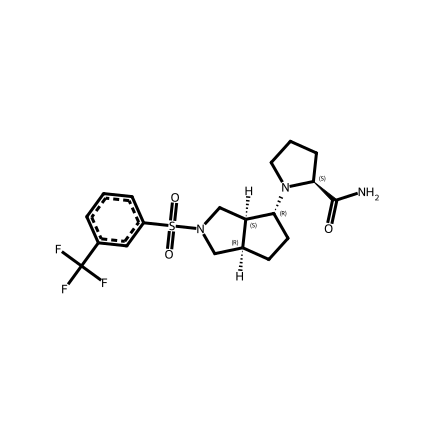 NC(=O)[C@@H]1CCCN1[C@@H]1CC[C@H]2CN(S(=O)(=O)c3cccc(C(F)(F)F)c3)C[C@H]21